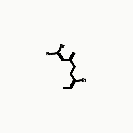 C=C(C=C(Br)Br)CC/C(=C\C)CC